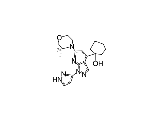 C[C@@H]1COCCN1c1cc(C2(O)CCCCC2)c2cnn(-c3cc[nH]n3)c2n1